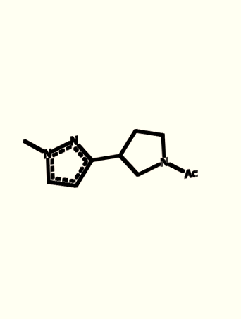 CC(=O)N1CCC(c2ccn(C)n2)C1